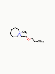 COCCOCC[N+]1(C)CCCCCC1